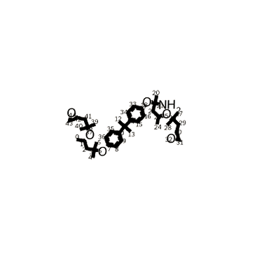 CC(CC(C)(C)Oc1ccc(C(C)(C)c2ccc(OC(C)(N)CC(C)OC(C)(C)CC3CO3)cc2)cc1)OC(C)(C)CC1CO1